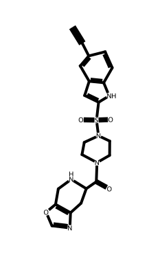 C#Cc1ccc2[nH]c(S(=O)(=O)N3CCN(C(=O)C4Cc5ncoc5CN4)CC3)cc2c1